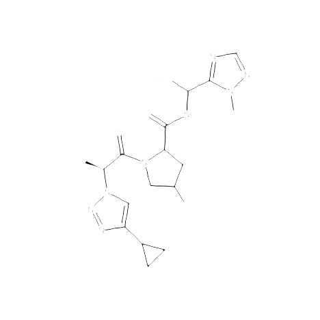 CCn1ncnc1C(C)NC(=O)C1CC(O)CN1C(=O)[C@@H](n1cc(C2CC2)nn1)C(C)(C)C